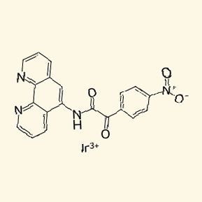 O=C(Nc1cc2cccnc2c2ncccc12)C(=O)c1ccc([N+](=O)[O-])cc1.[Ir+3]